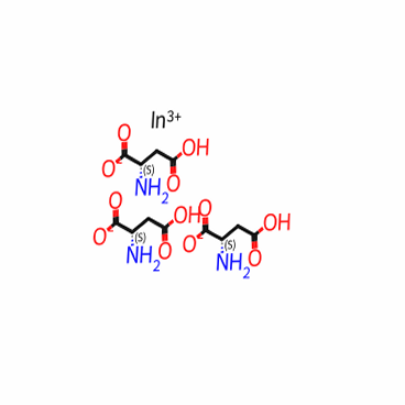 N[C@@H](CC(=O)O)C(=O)[O-].N[C@@H](CC(=O)O)C(=O)[O-].N[C@@H](CC(=O)O)C(=O)[O-].[In+3]